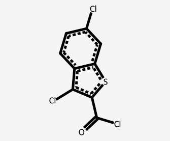 O=C(Cl)c1sc2cc(Cl)ccc2c1Cl